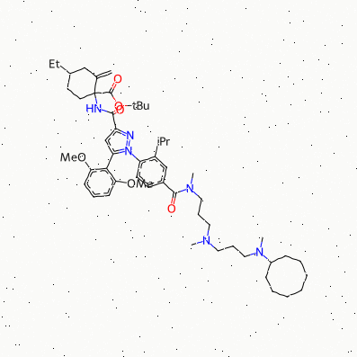 C=C1CC(CC)CCC1(NC(=O)c1cc(-c2c(OC)cccc2OC)n(-c2ccc(C(=O)N(C)CCCN(C)CCCN(C)C3CCCCCCC3)cc2C(C)C)n1)C(=O)OC(C)(C)C